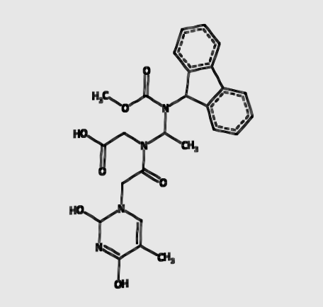 COC(=O)N(C1c2ccccc2-c2ccccc21)C(C)N(CC(=O)O)C(=O)CN1C=C(C)C(O)=NC1O